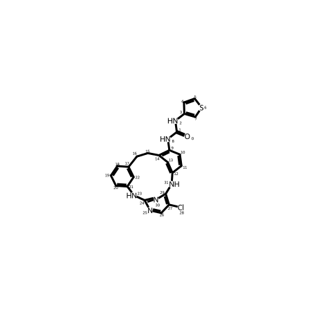 O=C(Nc1ccsc1)Nc1ccc2cc1CCc1cccc(c1)Nc1ncc(Cl)c(n1)N2